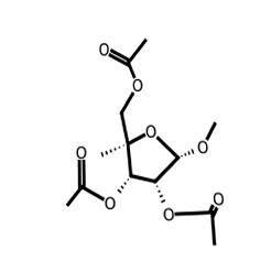 CO[C@H]1O[C@](C)(COC(C)=O)[C@@H](OC(C)=O)[C@H]1OC(C)=O